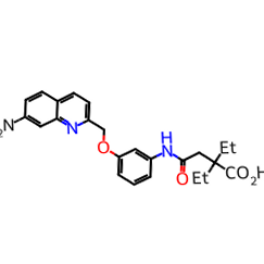 CCC(CC)(CC(=O)Nc1cccc(OCc2ccc3ccc([N+](=O)[O-])cc3n2)c1)C(=O)O